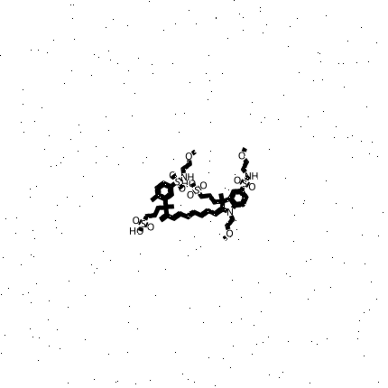 C=C(/C=C/C=C/C=C/C=C1/N(CCOC)c2ccc(S(=O)(=O)NCCOC)cc2C1(C)CCCS(=O)(=O)O)C(C)(CCCS(=O)(=O)O)c1cc(S(=O)(=O)NCCOC)ccc1C